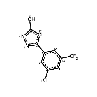 Oc1nnc(-c2cc(Cl)cc(C(F)(F)F)c2)o1